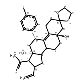 C=C[C@@H]1CC2C3CC[C@@]4(O)CC5(CCC4=C3[C@@H](c3ccc(I)cc3)C[C@]2(C)C1C(C)=O)OCCO5